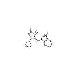 Cn1cc(/C=C2\C(=O)NN=C2C2CCOC2)c2ccccc21